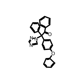 O=C(c1ccccc1)C(c1ccccc1)(c1ccc(Oc2ccccc2)cc1)n1cncn1